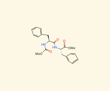 COC(=O)N[C@@H](Cc1ccccc1)C(=O)N[C@@H](Cc1ccccc1)C(=O)OC